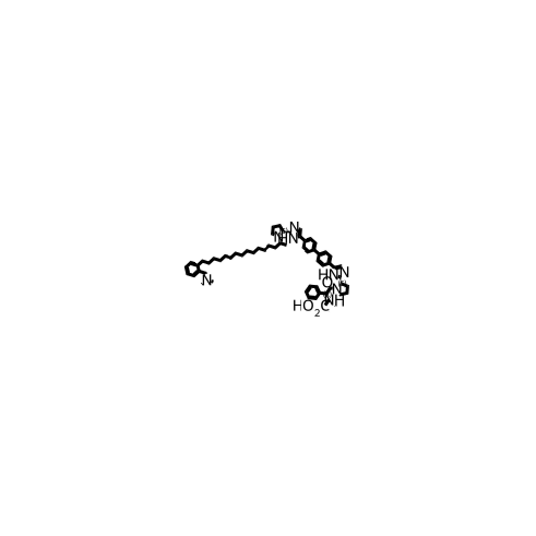 CC(CCCCCCCCCCCCCCc1ccccc1CN(C)C)N1CCC[C@H]1c1ncc(-c2ccc(-c3ccc(-c4cnc([C@@H]5CCCN5C(=O)[C@H](NC(=O)O)c5ccccc5)[nH]4)cc3)cc2)[nH]1